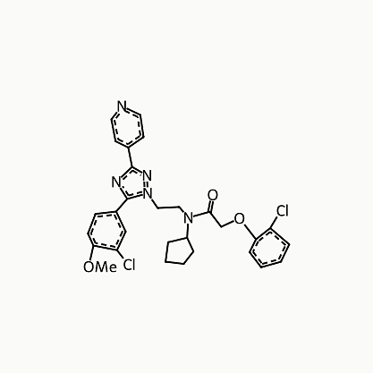 COc1ccc(-c2nc(-c3ccncc3)nn2CCN(C(=O)COc2ccccc2Cl)C2CCCC2)cc1Cl